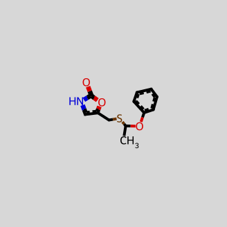 CC(Oc1ccccc1)SCc1c[nH]c(=O)o1